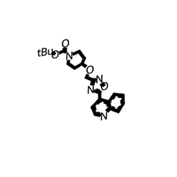 CC(C)(C)OC(=O)N1CCC(OCc2noc(-c3ccnc4ccccc34)n2)CC1